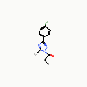 CCC(=O)n1nc(-c2ccc(Cl)cc2)nc1C